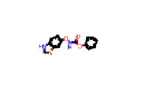 O=C(NOc1ccc2c(c1)SCN2)Oc1ccccc1